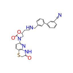 N#Cc1cccc(-c2cccc(CNCCC3CN(c4ccc5c(n4)NC(=O)CS5)C(=O)O3)c2)c1